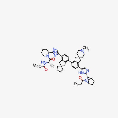 COC(=O)N[C@H](C(=O)N1CCCC[C@H]1c1ncc(-c2ccc(-c3ccc(-c4cnc([C@@H]5C6CCC(C6)N5C(=O)CC(C)C)[nH]4)c4c3CC3(CCN(C)CC3)C4)c3c2CC2(CCCC2)C3)[nH]1)C(C)C